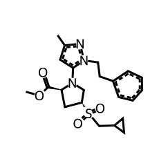 COC(=O)[C@@H]1C[C@@H](S(=O)(=O)CC2CC2)CN1c1cc(C)nn1CCc1ccccc1